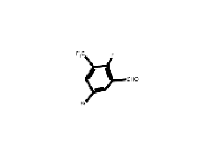 O=Cc1cc(Br)cc(C(F)(F)F)c1F